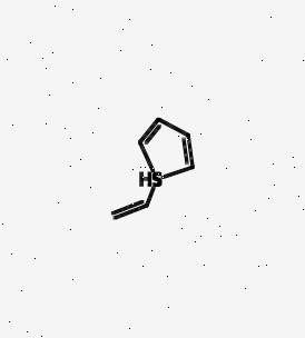 C=C[SH]1C=CC=C1